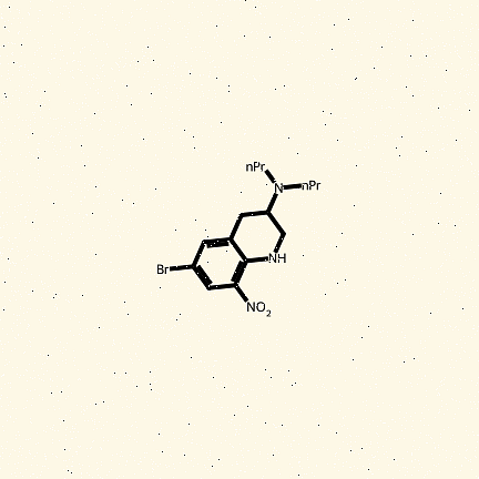 CCCN(CCC)C1CNc2c(cc(Br)cc2[N+](=O)[O-])C1